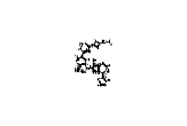 NC1CN(c2cncc(-c3cnc4[nH]nc(-c5nc6c(-c7cccs7)nccc6[nH]5)c4c3)n2)C1